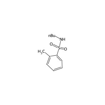 CCCCNS(=O)(=O)c1ccccc1C